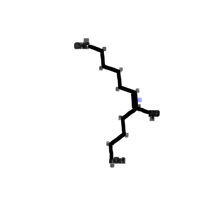 CCCCCCCCCCC/C(=C\CCCCC=O)N=O